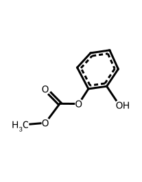 COC(=O)Oc1ccccc1O